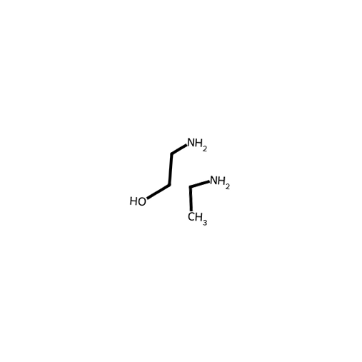 CCN.NCCO